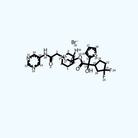 O=C(C[N+]12CCC(CC1)[C@@H](OC(=O)C(O)(c1cccs1)C1CCC(F)(F)C1)C2)Nc1cncnc1.[Br-]